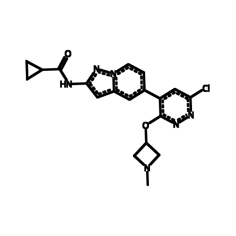 CN1CC(Oc2nnc(Cl)cc2-c2ccn3nc(NC(=O)C4CC4)cc3c2)C1